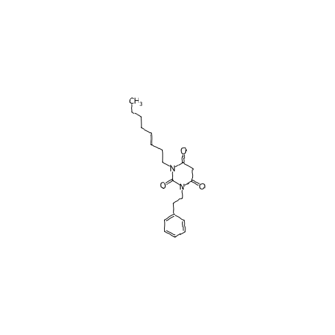 CCCCCCCCN1C(=O)CC(=O)N(CCc2ccccc2)C1=O